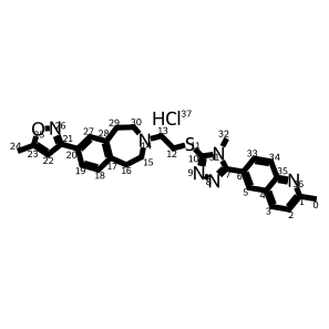 Cc1ccc2cc(-c3nnc(SCCN4CCc5ccc(-c6cc(C)on6)cc5CC4)n3C)ccc2n1.Cl